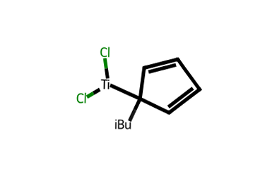 CCC(C)[C]1([Ti]([Cl])[Cl])C=CC=C1